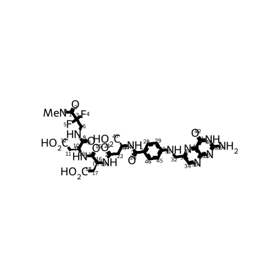 CNC(=O)C(F)(F)CNC(=O)[C@H](CC(=O)O)NC(=O)[C@H](CC(=O)O)NC(=O)C[C@H](NC(=O)c1ccc(NCc2cnc3nc(N)[nH]c(=O)c3n2)cc1)C(=O)O